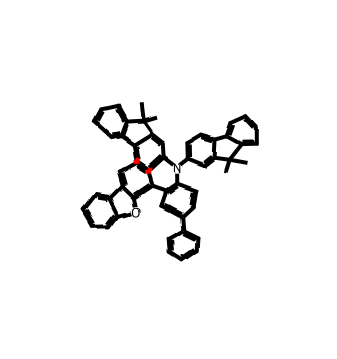 CC1(C)c2ccccc2-c2ccc(N(c3ccc4c(c3)C(C)(C)c3ccccc3-4)c3ccc(-c4ccccc4)cc3-c3cccc4c3oc3ccccc34)cc21